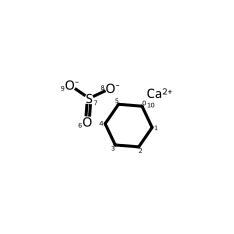 C1CCCCC1.O=S([O-])[O-].[Ca+2]